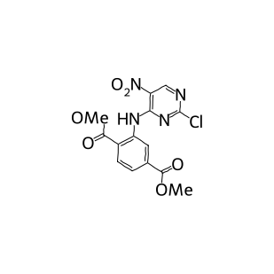 COC(=O)c1ccc(C(=O)OC)c(Nc2nc(Cl)ncc2[N+](=O)[O-])c1